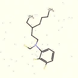 CCCCC(CC)CCN(CF)c1cccc(F)c1F